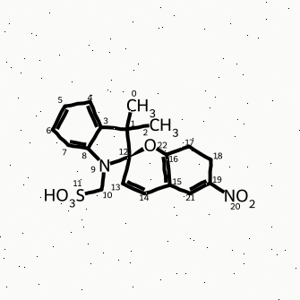 CC1(C)c2ccccc2N(CS(=O)(=O)O)[C@@]12C=CC1=C(CCC([N+](=O)[O-])=C1)O2